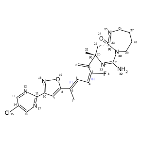 C=C(/C(F)=C\C=C(/C)c1cc(-c2ncc(Cl)cn2)no1)[C@]1(C)C[S@]2(=O)=NCCCCN2C(N)=N1